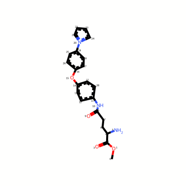 COC(=O)C(N)CCC(=O)Nc1ccc(Oc2ccc(-n3cccc3)cc2)cc1